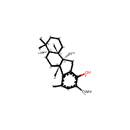 COc1cc(C)c2c(c1O)C[C@@H]1[C@@]3(C)CCCC(C)(C)[C@@H]3CC[C@@]21C